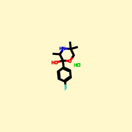 CC1NC(C)(C)COC1(O)c1ccc(F)cc1.Cl